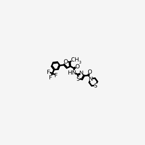 Cc1oc(-c2cccc(C(F)(F)F)c2)cc1C(=O)Nc1nc(C(=O)N2CCSCC2)cs1